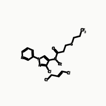 CCN(C(=O)CCSCCC(F)(F)F)c1cn(-c2cccnc2)nc1Cl.ClC=CCCl